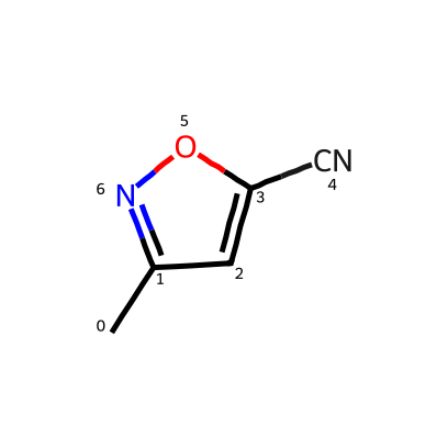 Cc1cc(C#N)on1